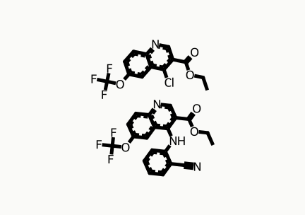 CCOC(=O)c1cnc2ccc(OC(F)(F)F)cc2c1Cl.CCOC(=O)c1cnc2ccc(OC(F)(F)F)cc2c1Nc1ccccc1C#N